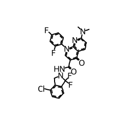 CN(C)c1ccc2c(=O)c(C(=O)NN3Cc4c(Cl)cccc4C3(F)F)cn(-c3ccc(F)cc3F)c2n1